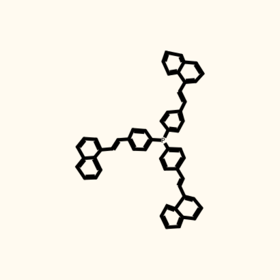 C(=C\c1cccc2ccccc12)/c1ccc(P(c2ccc(/C=C/c3cccc4ccccc34)cc2)c2ccc(/C=C/c3cccc4ccccc34)cc2)cc1